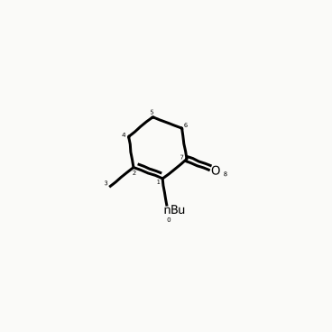 CCCCC1=C(C)CCCC1=O